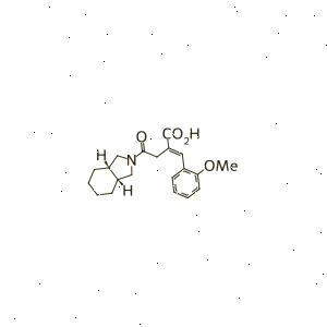 COc1ccccc1/C=C(\CC(=O)N1C[C@H]2CCCC[C@H]2C1)C(=O)O